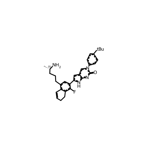 C[C@H](N)CCCc1cc(-c2cc3cn(-c4ccc(C(C)(C)C)cc4)c(=O)nc3[nH]2)c(F)c2c1C=CCC2